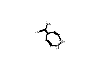 NC(=S)C1C=CNNC=C1